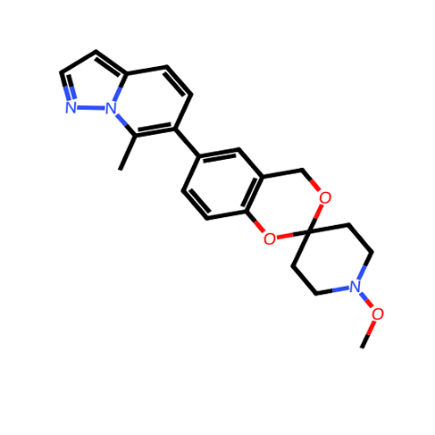 CON1CCC2(CC1)OCc1cc(-c3ccc4ccnn4c3C)ccc1O2